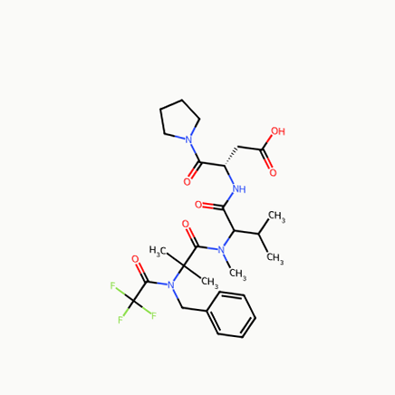 CC(C)C(C(=O)N[C@@H](CC(=O)O)C(=O)N1CCCC1)N(C)C(=O)C(C)(C)N(Cc1ccccc1)C(=O)C(F)(F)F